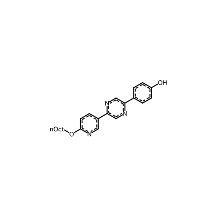 CCCCCCCCOc1ccc(-c2cnc(-c3ccc(O)cc3)cn2)cn1